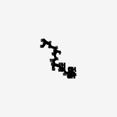 CC(C)=CCCC(C)=CCCC(C)=CCNCP(=O)(O)O